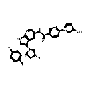 O=C(Nc1cnc2[nH]nc(N3C[C@@H](F)C[C@@H]3c3cc(F)ccc3F)c2c1)c1ccc(N2CCC(O)C2)nc1